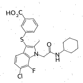 Cc1c(Sc2cccc(C(=O)O)c2)c2ccc(Cl)c(F)c2n1CC(=O)NC1CCCCC1